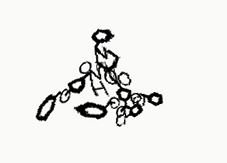 O=C(N[C@@H]1CN(Cc2ccccc2)CCC[C@H]1OC(=O)c1cc(OCc2ccccc2)c(C(=O)c2c(Cl)cccc2Cl)c(OCc2ccccc2)c1)c1ccc(OCc2ccccc2)cc1